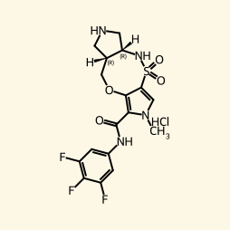 Cl.Cn1cc2c(c1C(=O)Nc1cc(F)c(F)c(F)c1)OC[C@@H]1CNC[C@@H]1NS2(=O)=O